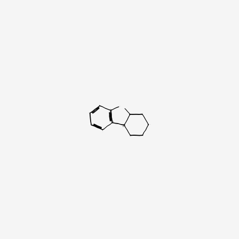 [c]1cccc2c1C1CCCCC1O2